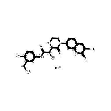 Cc1cc2ccc(N3CCO[C@H]([C@@H](O)C(=O)Nc4ccc(C#N)c(CN)c4)C3=O)cc2[nH]c1=O.Cl